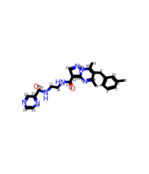 Cc1cccc(Cc2c(C)nc3c(C(=O)NCCNC(=O)c4cnccn4)cnn3c2C)c1